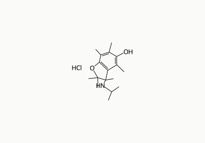 Cc1c(C)c2c(c(C)c1O)C(C)(NC(C)C)C(C)(C)O2.Cl